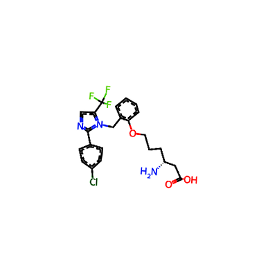 N[C@H](CCCOc1ccccc1Cn1c(C(F)(F)F)cnc1-c1ccc(Cl)cc1)CC(=O)O